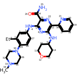 CCc1cc(Nc2nc(NC3CCOCC3)c(-c3ccccn3)nc2C(N)=O)ccc1N1CCN(C)CC1